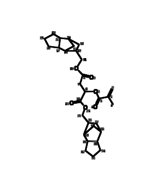 C=C(C)C(=O)OC(CC(=O)OCC1CC2CC1C1CCCC21)C(=O)OCC1CC2CC1C1CCCC21